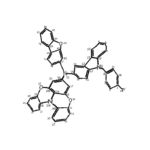 Fc1ccc(-n2c3ccccc3c3cc(N(c4cc5c6c(c4)Oc4ccccc4N6c4ccccc4O5)c4ccc5c(c4)oc4ccccc45)ccc32)cc1